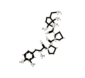 CCC1CCC(C)(OC(=O)[C@@H]2CCCN2C(=O)[C@@H]2CCCN2C(=O)[C@H](O)Cc2ccc(O)c(O)c2)C1(C)C